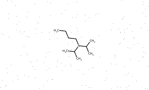 CCCCN(C(C)C)C(C)C